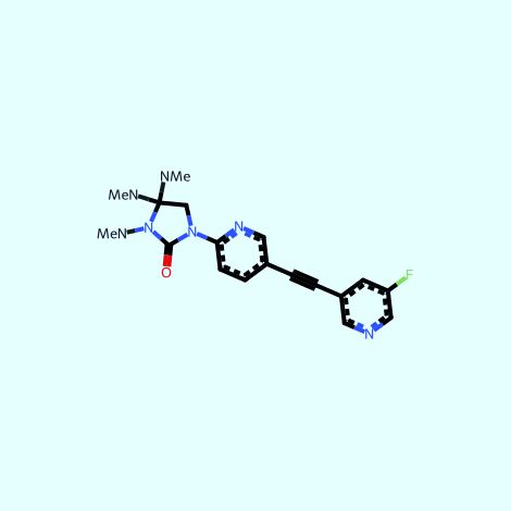 CNN1C(=O)N(c2ccc(C#Cc3cncc(F)c3)cn2)CC1(NC)NC